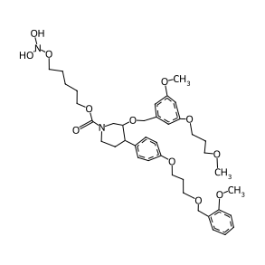 COCCCOc1cc(COC2CN(C(=O)OCCCCCON(O)O)CCC2c2ccc(OCCCOCc3ccccc3OC)cc2)cc(OC)c1